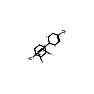 OC1=CCC(C23CCC(O)(CC2)C(F)=C3F)CC1